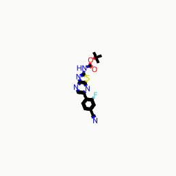 CC(C)(C)OC(=O)Nc1nc2ncc(-c3ccc(C#N)cc3F)nc2s1